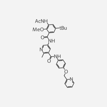 COc1c(NC(C)=O)cc(C(C)(C)C)cc1C(=O)Nc1cnc(C)c(C(=O)Nc2ccc(OCc3ccccn3)cc2)c1